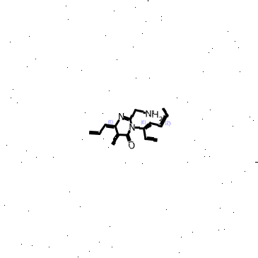 C=C/C=c1/nc(CN)n(/C(C=C)=C/C=C\C)c(=O)c1=C